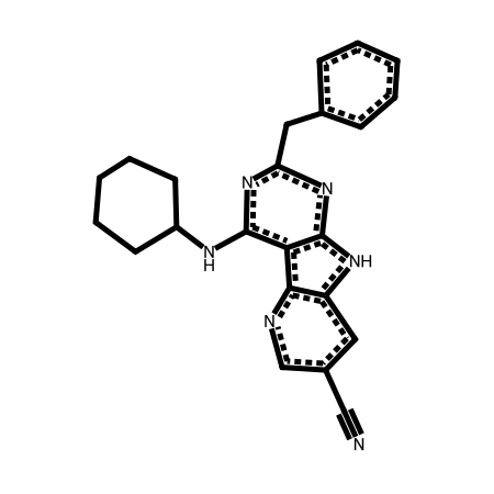 N#Cc1cnc2c(c1)[nH]c1nc(Cc3ccccc3)nc(NC3CCCCC3)c12